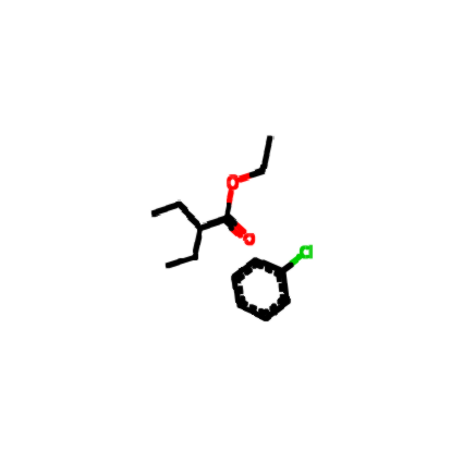 CCOC(=O)C(CC)CC.Clc1ccccc1